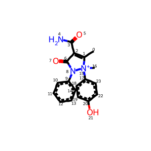 CC1=C(C(N)=O)C(=O)N(c2ccccc2)[N+]1(C)c1ccc(O)cc1